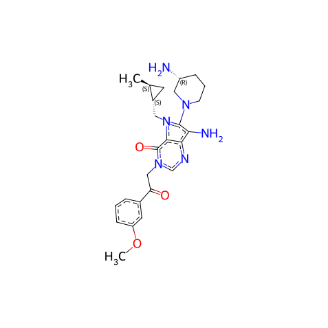 COc1cccc(C(=O)Cn2cnc3c(N)c(N4CCC[C@@H](N)C4)n(C[C@H]4C[C@@H]4C)c3c2=O)c1